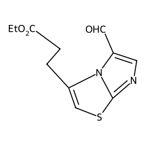 CCOC(=O)CCc1csc2ncc(C=O)n12